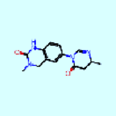 CC1CC(=O)N(c2ccc3c(c2)CN(C)C(=O)N3)C=N1